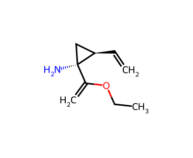 C=C[C@@H]1C[C@]1(N)C(=C)OCC